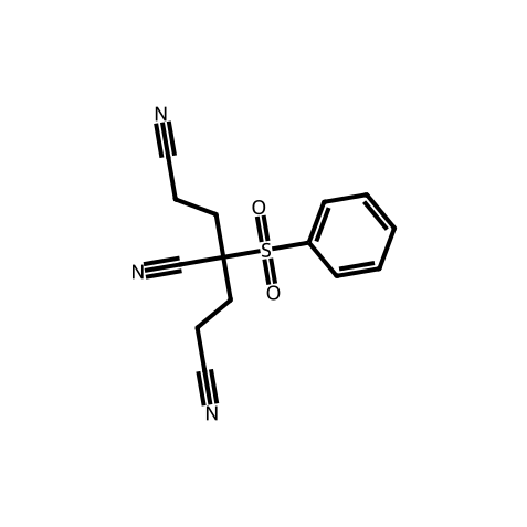 N#CCCC(C#N)(CCC#N)S(=O)(=O)c1ccccc1